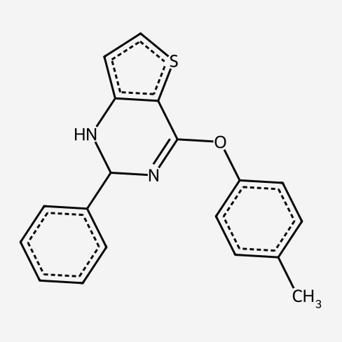 Cc1ccc(OC2=NC(c3ccccc3)Nc3ccsc32)cc1